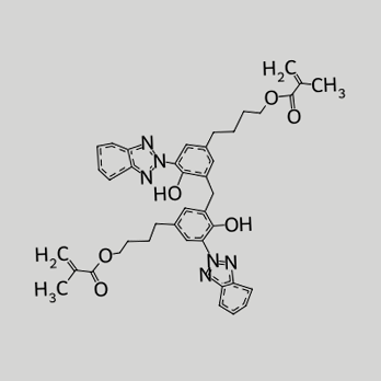 C=C(C)C(=O)OCCCCc1cc(Cc2cc(CCCCOC(=O)C(=C)C)cc(-n3nc4ccccc4n3)c2O)c(O)c(-n2nc3ccccc3n2)c1